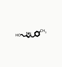 Cc1ccc(Cn2cc(CCO)nn2)cc1